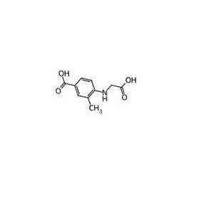 Cc1cc(C(=O)O)ccc1NCC(=O)O